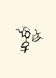 CCC1=C(C)C2C(C)=CC=C2S1.CCCC1=Cc2c(-c3ccc(C(C)(C)C)cc3)cccc2C1[SiH3]